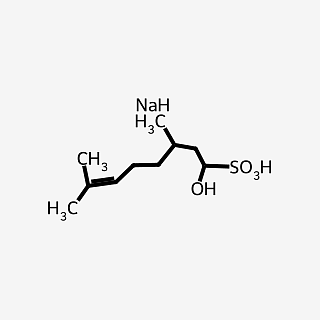 CC(C)=CCCC(C)CC(O)S(=O)(=O)O.[NaH]